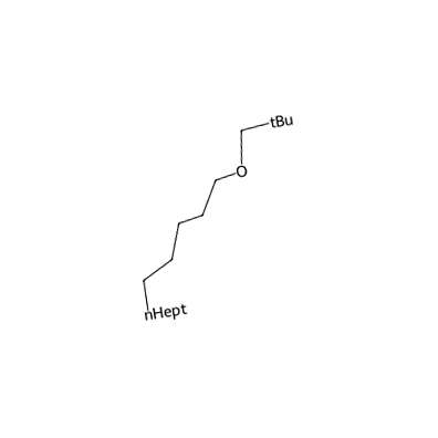 CCCCCCCCCCCCOCC(C)(C)C